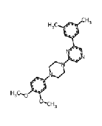 COc1ccc(N2CCN(c3cncc(-c4cc(C)cc(C)c4)n3)CC2)cc1OC